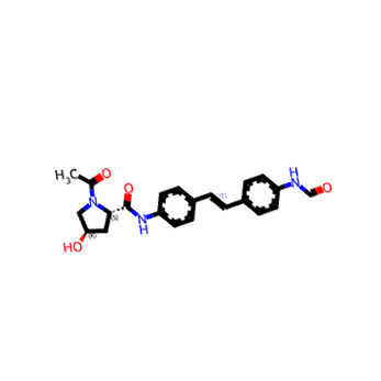 CC(=O)N1C[C@H](O)C[C@H]1C(=O)Nc1ccc(/C=C/c2ccc(NC=O)cc2)cc1